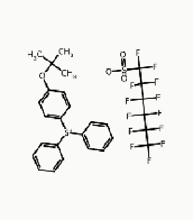 CC(C)(C)Oc1ccc([S+](c2ccccc2)c2ccccc2)cc1.O=S(=O)([O-])C(F)(F)C(F)(F)C(F)(F)C(F)(F)C(F)(F)C(F)(F)F